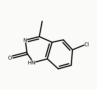 Cc1nc(=O)[nH]c2ccc(Cl)cc12